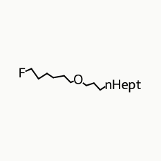 [CH2]CCCCCCCCCOCCCCCCF